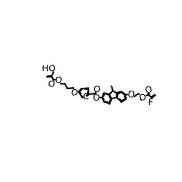 C=C(F)C(=O)OCCOc1ccc2c(c1)C(C)c1cc(OC(=O)c3ccc(OCCCCOC(=O)C(=C)CO)cc3)ccc1-2